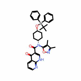 Cc1noc(N(C(=O)c2c[nH]c3ncccc3c2=O)[C@H]2CC[C@H](O[Si](c3ccccc3)(c3ccccc3)C(C)(C)C)CC2)c1C